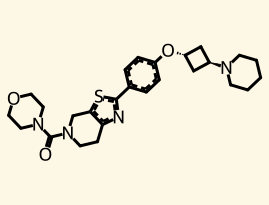 O=C(N1CCOCC1)N1CCc2nc(-c3ccc(O[C@H]4C[C@H](N5CCCCC5)C4)cc3)sc2C1